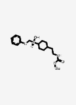 CC(C)(C)OC(=O)NCCC1CCC(P(=O)(O)COc2ccccc2)CC1